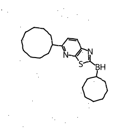 B(c1nc2ccc(C3CCCCCCCCC3)nc2s1)C1CCCCCCC1